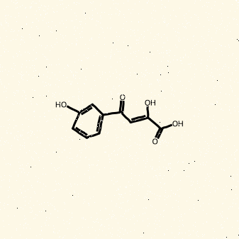 O=C(O)/C(O)=C/C(=O)c1cccc(O)c1